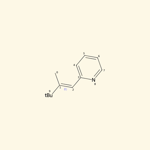 C/C(=C\c1ccccn1)C(C)(C)C